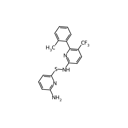 Cc1ccccc1-c1nc(NSc2cccc(N)n2)ccc1C(F)(F)F